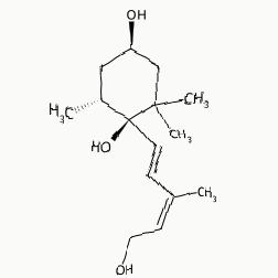 CC(=C/CO)/C=C/[C@]1(O)[C@H](C)C[C@@H](O)CC1(C)C